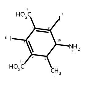 CC1C(C(=O)O)=C(I)C(C(=O)O)=C(I)C1N